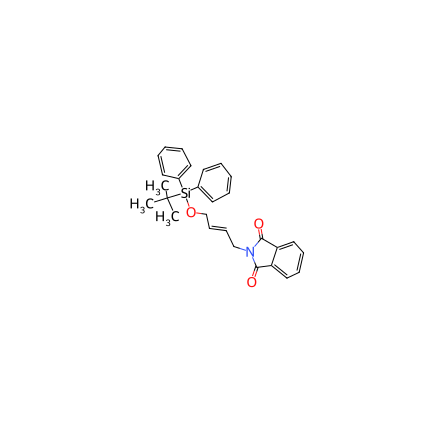 CC(C)(C)[Si](OC/C=C/CN1C(=O)c2ccccc2C1=O)(c1ccccc1)c1ccccc1